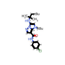 CC(C)(C)CC(C)(C)Nc1cn(C(C)(C)C)c2c(C(=O)Nc3ccc(Cl)cc3)cnn12